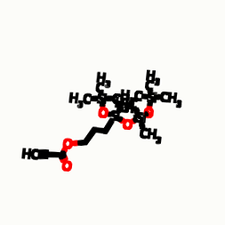 C#CC(=O)OCCC[Si](C)(O[Si](C)(C)C)O[Si](C)(C)O[Si](C)(C)C